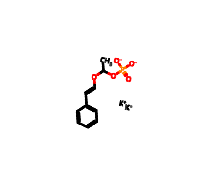 CC(OC=Cc1ccccc1)OP(=O)([O-])[O-].[K+].[K+]